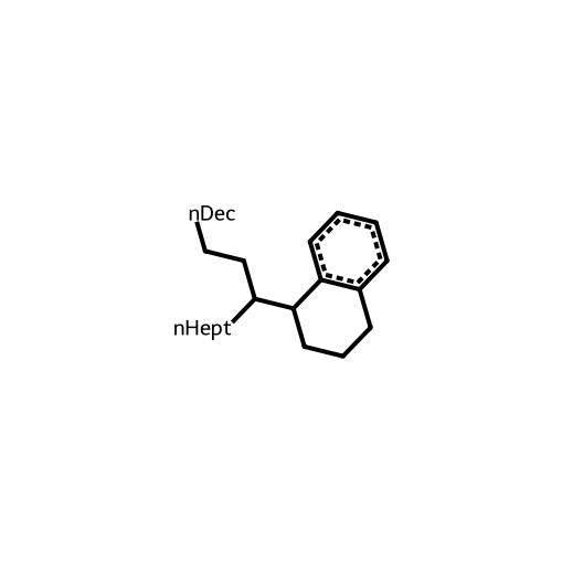 CCCCCCCCCCCCC(CCCCCCC)C1CCCc2ccccc21